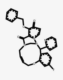 O=C1c2c(OCc3ccccc3)c(=O)ccn2N2CN1C/C=C\COc1cc(F)ccc1C2c1ccccn1